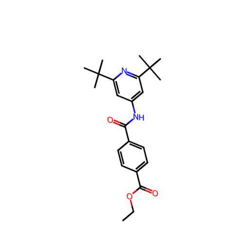 CCOC(=O)c1ccc(C(=O)Nc2cc(C(C)(C)C)nc(C(C)(C)C)c2)cc1